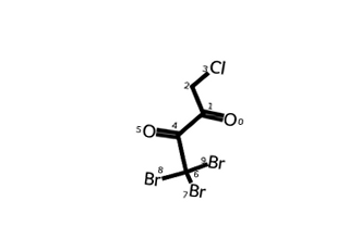 O=C(CCl)C(=O)C(Br)(Br)Br